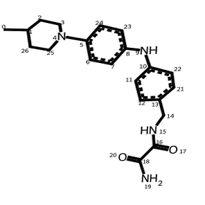 CC1CCN(c2ccc(Nc3ccc(CNC(=O)C(N)=O)cc3)cc2)CC1